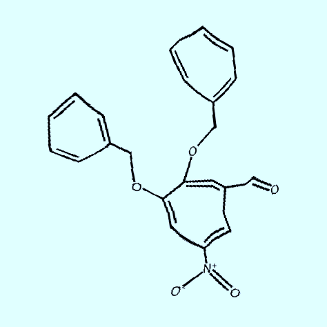 O=Cc1cc([N+](=O)[O-])cc(OCc2ccccc2)c1OCc1ccccc1